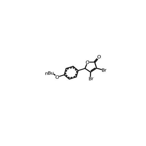 CCCCOc1ccc(C2OC(=O)C(Br)=C2Br)cc1